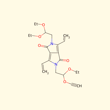 C#COC(CN1C(=O)C2=C(C=C)N(CC(OCC)OCC)C(=O)C2=C1C=C)OCC